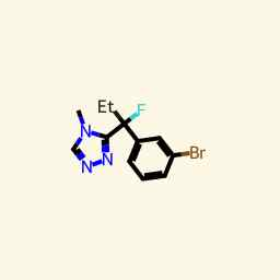 CCC(F)(c1cccc(Br)c1)c1nncn1C